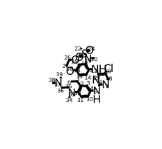 CCc1cc(Nc2ncc(Cl)c(Nc3ccc4c(c3N(C)S(C)(=O)=O)OCCO4)n2)ccc1N(C)CCN(C)C